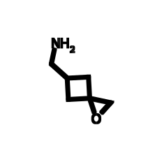 NCC1CC2(CO2)C1